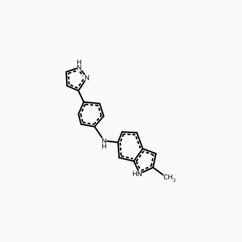 Cc1cc2ccc(Nc3ccc(-c4cc[nH]n4)cc3)cc2[nH]1